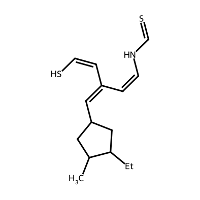 CCC1CC(/C=C(/C=C\S)\C=C/NC=S)CC1C